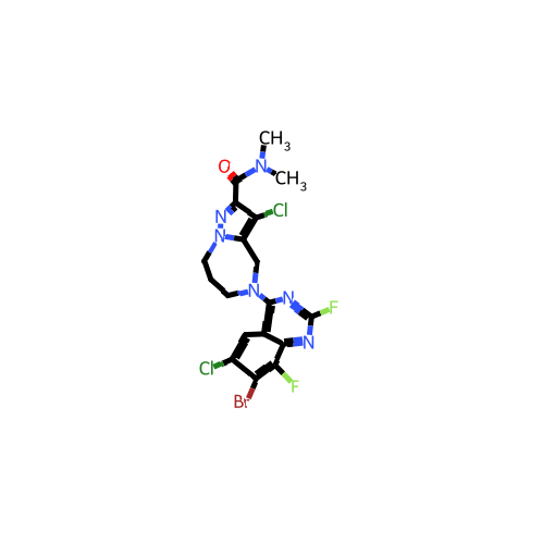 CN(C)C(=O)c1nn2c(c1Cl)CN(c1nc(F)nc3c(F)c(Br)c(Cl)cc13)CCC2